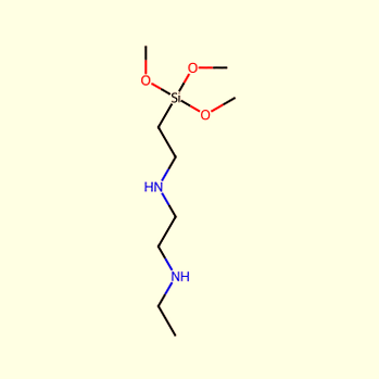 CCNCCNCC[Si](OC)(OC)OC